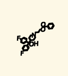 O=C(OCCCN1CCC(C(O)(c2ccc(F)cc2)c2ccc(F)cc2)CC1)c1ccccc1